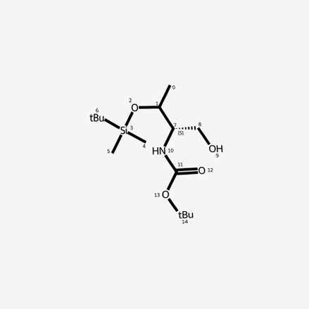 CC(O[Si](C)(C)C(C)(C)C)[C@H](CO)NC(=O)OC(C)(C)C